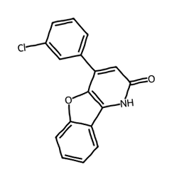 O=c1cc(-c2cccc(Cl)c2)c2oc3ccccc3c2[nH]1